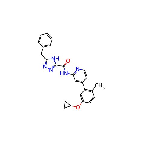 Cc1ccc(OC2CC2)cc1-c1ccnc(NC(=O)c2nnc(Cc3ccccc3)[nH]2)c1